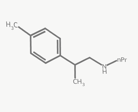 CCCNCC(C)c1ccc(C)cc1